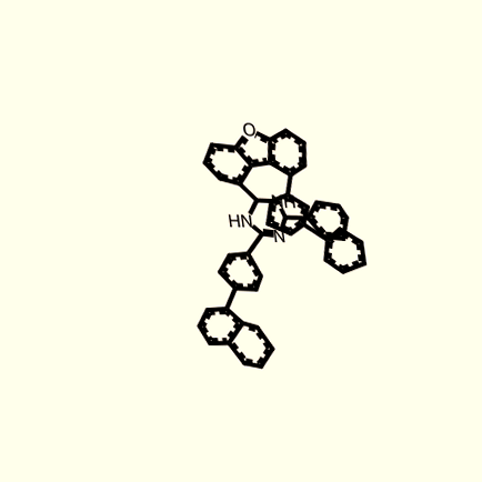 c1ccc(-c2cccc(-c3cccc4oc5cccc(C6NC(c7ccc(-c8cccc9ccccc89)cc7)=NC(c7ccccc7)N6)c5c34)c2)cc1